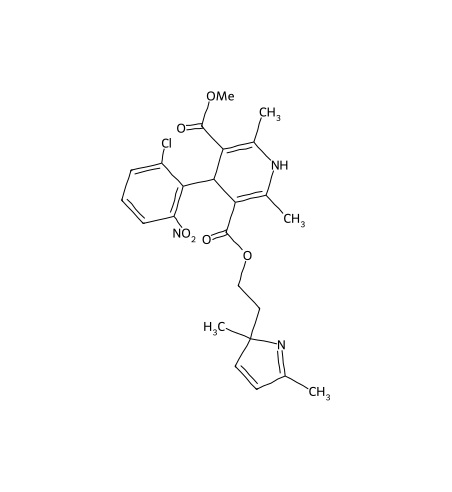 COC(=O)C1=C(C)NC(C)=C(C(=O)OCCC2(C)C=CC(C)=N2)C1c1c(Cl)cccc1[N+](=O)[O-]